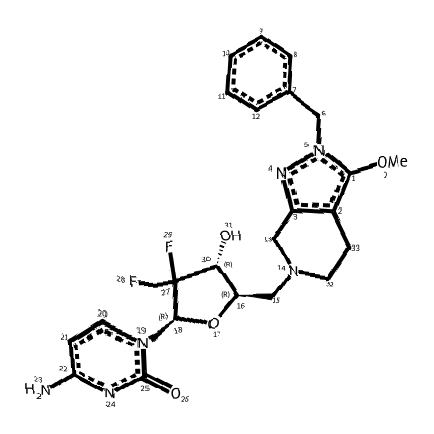 COc1c2c(nn1Cc1ccccc1)CN(C[C@H]1O[C@@H](n3ccc(N)nc3=O)C(F)(F)[C@@H]1O)CC2